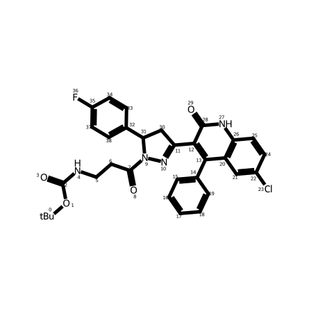 CC(C)(C)OC(=O)NCCC(=O)N1N=C(c2c(-c3ccccc3)c3cc(Cl)ccc3[nH]c2=O)CC1c1ccc(F)cc1